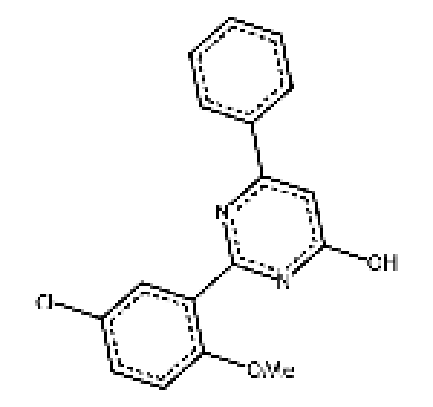 COc1ccc(Cl)cc1-c1nc(O)cc(-c2ccccc2)n1